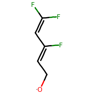 [O]CC=C(F)C=C(F)F